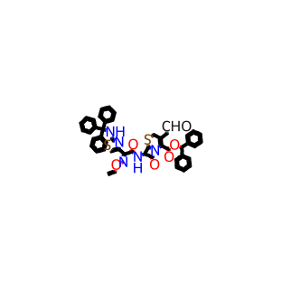 C=CON=C(C(=O)NC1C(=O)N2C(C(=O)OC(c3ccccc3)c3ccccc3)=C(CC=O)CSC12)c1csc(NC(c2ccccc2)(c2ccccc2)c2ccccc2)n1